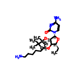 CC[C@H]1O[C@@H](n2ccc(N)nc2=O)[C@@H](O[Si](C)(C)C(C)(C)C)C1OCCCCCCN